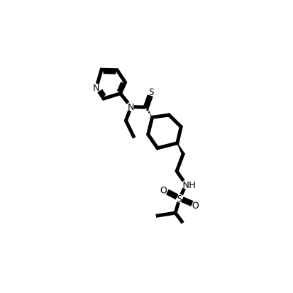 CCN(c1cccnc1)C(=S)[C@H]1CC[C@H](CCNS(=O)(=O)C(C)C)CC1